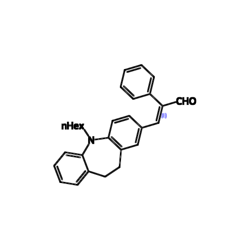 CCCCCCN1c2ccccc2CCc2cc(/C=C(/C=O)c3ccccc3)ccc21